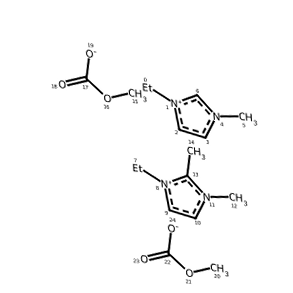 CC[n+]1ccn(C)c1.CC[n+]1ccn(C)c1C.COC(=O)[O-].COC(=O)[O-]